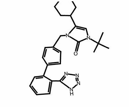 CC(C)(C)n1cc(C2CCCCC2)n(Cc2ccc(-c3ccccc3-c3nnn[nH]3)cc2)c1=O